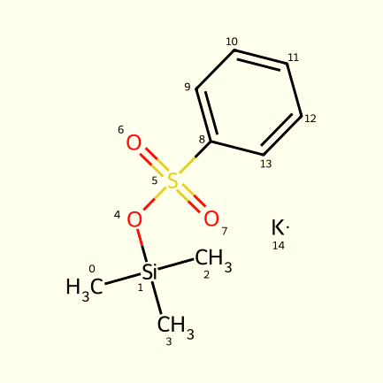 C[Si](C)(C)OS(=O)(=O)c1ccccc1.[K]